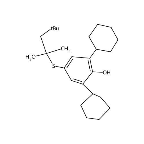 CC(C)(C)CC(C)(C)Sc1cc(C2CCCCC2)c(O)c(C2CCCCC2)c1